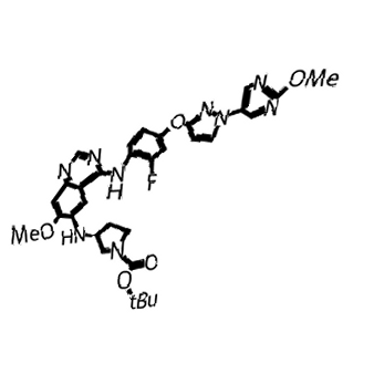 COc1ncc(-n2ccc(Oc3ccc(Nc4ncnc5cc(OC)c(N[C@H]6CCN(C(=O)OC(C)(C)C)C6)cc45)c(F)c3)n2)cn1